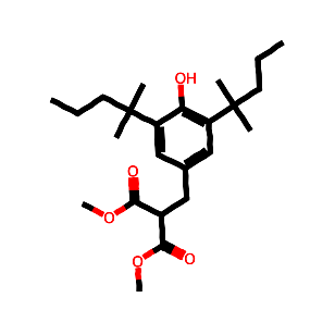 CCCC(C)(C)c1cc(CC(C(=O)OC)C(=O)OC)cc(C(C)(C)CCC)c1O